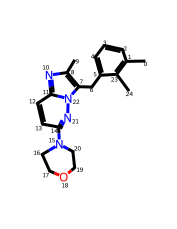 Cc1cccc(Cc2c(C)nc3ccc(N4CCOCC4)nn23)c1C